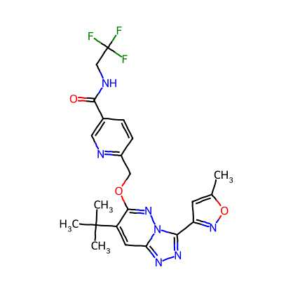 Cc1cc(-c2nnc3cc(C(C)(C)C)c(OCc4ccc(C(=O)NCC(F)(F)F)cn4)nn23)no1